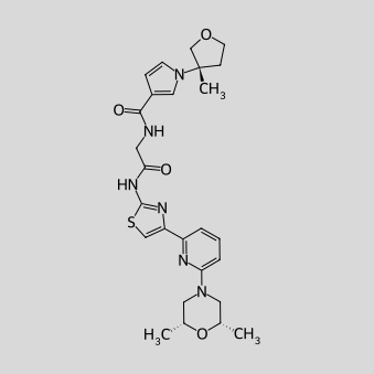 C[C@@H]1CN(c2cccc(-c3csc(NC(=O)CNC(=O)c4ccn([C@@]5(C)CCOC5)c4)n3)n2)C[C@H](C)O1